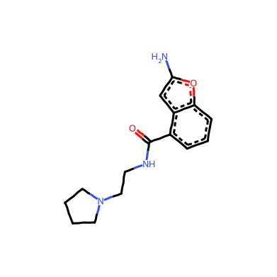 Nc1cc2c(C(=O)NCCN3CCCC3)cccc2o1